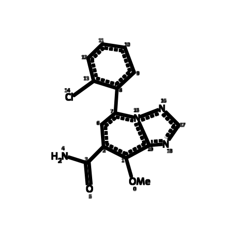 COc1c(C(N)=O)cc(-c2ccccc2Cl)n2n[c]nc12